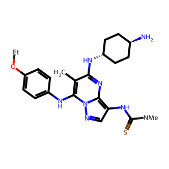 CCOc1ccc(Nc2c(C)c(N[C@H]3CC[C@H](N)CC3)nc3c(NC(=S)NC)cnn23)cc1